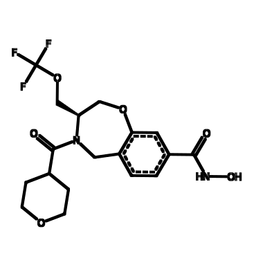 O=C(NO)c1ccc2c(c1)OC[C@H](COC(F)(F)F)N(C(=O)C1CCOCC1)C2